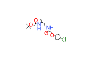 C=C(CCNC(=O)COc1ccc(Cl)cc1)NC(=O)COC(C)(C)C